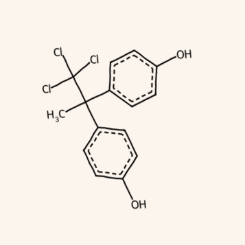 CC(c1ccc(O)cc1)(c1ccc(O)cc1)C(Cl)(Cl)Cl